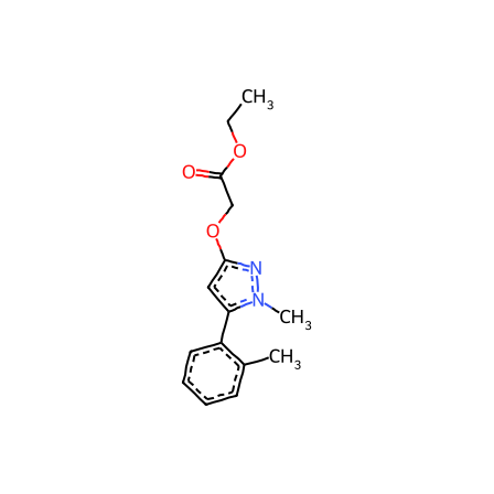 CCOC(=O)COc1cc(-c2ccccc2C)n(C)n1